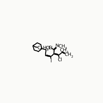 C=C(C)/C(Cl)=C(C(\C)=N/C)/C(I)=C\C(C)C12CCC(CC1)CC2